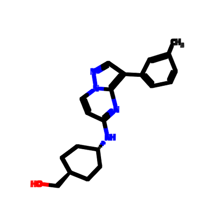 Cc1cccc(-c2cnn3ccc(N[C@H]4CC[C@H](CO)CC4)nc23)c1